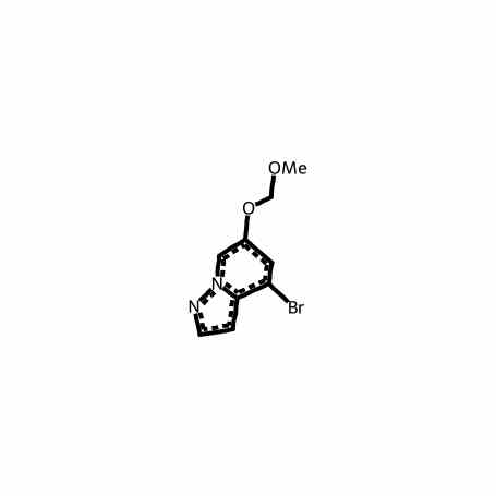 COCOc1cc(Br)c2ccnn2c1